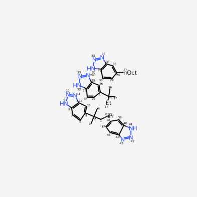 CC(C)CC(C)(C)c1ccc2[nH]nnc2c1.CCC(C)(C)c1ccc2[nH]nnc2c1.CCCCCCCCc1ccc2[nH]nnc2c1.c1ccc2[nH]nnc2c1